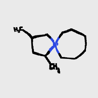 CC1CC(C)[N+]2(CCCCCC2)C1